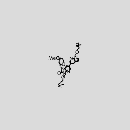 CO[C@@H]1CCO[C@H](Cn2c(=O)n(COCC[Si](C)(C)C)c3ncc(-c4cnc5c(ccn5COCC[Si](C)(C)C)c4)cc32)C1